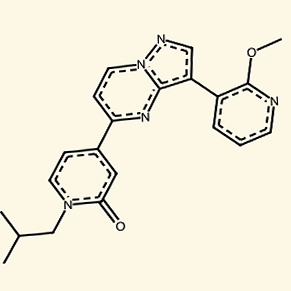 COc1ncccc1-c1cnn2ccc(-c3ccn(CC(C)C)c(=O)c3)nc12